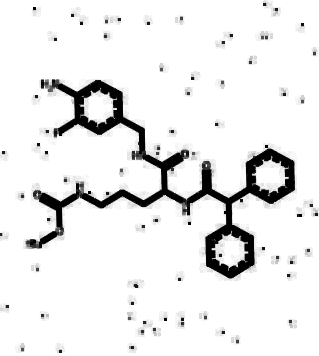 CC(C)(C)OC(=O)NCCCC(NC(=O)C(c1ccccc1)c1ccccc1)C(=O)NCc1ccc(N)c(F)c1